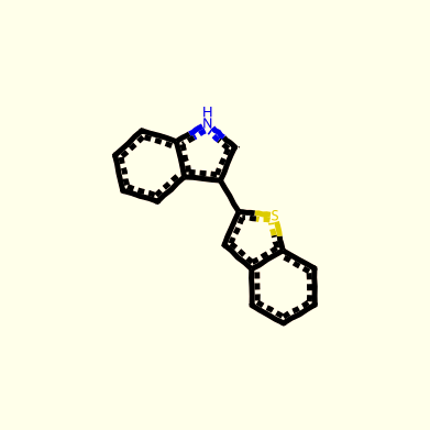 [c]1[nH]c2ccccc2c1-c1cc2ccccc2s1